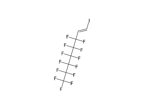 FC(F)(F)C(F)(F)C(F)(F)C(F)(F)C(F)(F)C(F)(F)C=CI